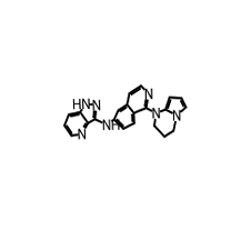 c1cnc2c(Nc3ccc4c(N5CCCn6cccc65)nccc4c3)n[nH]c2c1